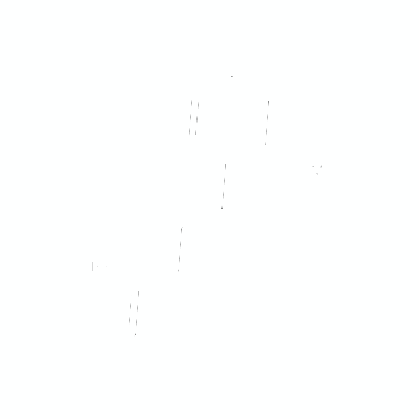 CC=C(O)CCC(O)c1cc(F)ccc1OC